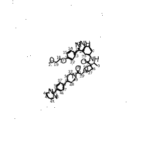 CCC1(C(=O)Nc2ccc3[nH]nc(-c4ccc(OCCOC)cc4)c3c2)CCN(CC(=O)N2CCC(c3ccc(-c4ncccn4)cc3)CC2)C1